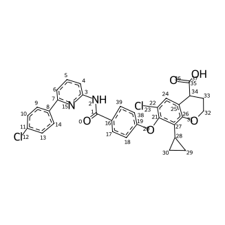 O=C(Nc1cccc(-c2ccc(Cl)cc2)n1)c1ccc(Oc2c(Cl)cc3c(c2C2CC2)OCCC3C(=O)O)cc1